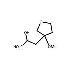 COC1(CC(O)C(=O)O)CCOC1